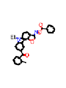 CCn1c2ccc(C(=O)c3ccccc3C)cc2c2c3c(ccc21)/C(=N/OC(=O)c1ccccc1)CO3